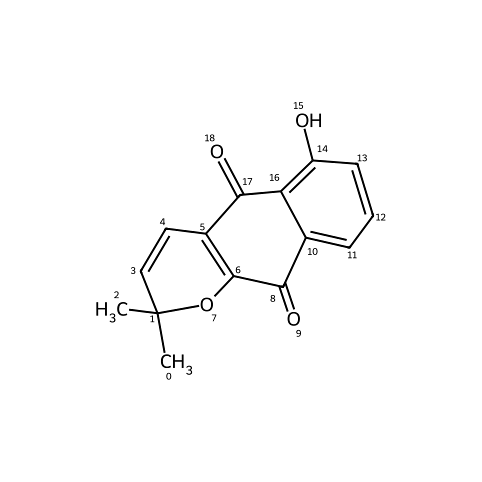 CC1(C)C=CC2=C(O1)C(=O)c1cccc(O)c1C2=O